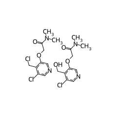 CN(C)C(=O)COc1cncc(Cl)c1CCl.CN(C)C(=O)COc1cncc(Cl)c1CO